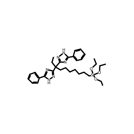 [CH2]CC(CCCCCCC[Si](OCC)(OCC)OCC)(c1n[nH]c(-c2ccccc2)n1)c1n[nH]c(-c2ccccc2)n1